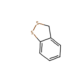 c1ccc2c(c1)CSS2